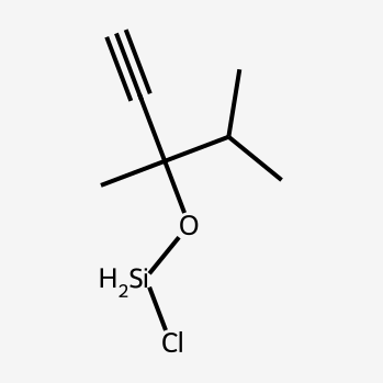 C#CC(C)(O[SiH2]Cl)C(C)C